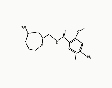 BN1CCCOC(CNC(=O)c2cc(I)c(N)cc2OC)C1